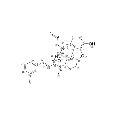 C=CCN1CC[C@]23c4c5ccc(O)c4OC2CCC(N(C)C(=O)/C=C/c2cccc(C)c2)[C@@]3(O)[C@H]1C5